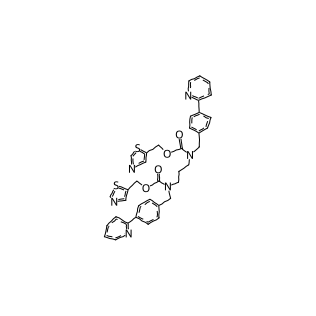 O=C(OCc1cncs1)N(CCCN(Cc1ccc(-c2ccccn2)cc1)C(=O)OCc1cncs1)Cc1ccc(-c2ccccn2)cc1